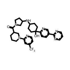 O=C(C1CCCN(c2cc(C(F)(F)F)ccn2)C1)N1CCC(NC2CCC(O)(c3ccc(-c4ncccn4)cn3)CC2)C1